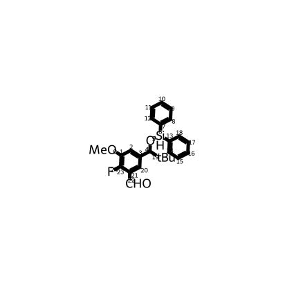 COc1cc(C(O[SiH](c2ccccc2)c2ccccc2)C(C)(C)C)cc(C=O)c1F